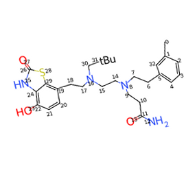 Cc1cccc(CCN(CCC(N)=O)CCN(CCc2ccc(O)c3[nH]c(=O)sc23)CC(C)(C)C)c1